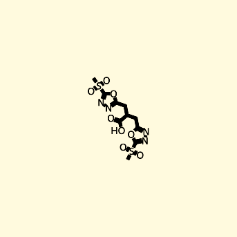 CS(=O)(=O)c1nnc(CC(Cc2nnc(S(C)(=O)=O)o2)C(=O)O)o1